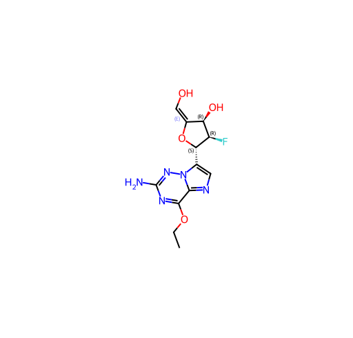 CCOc1nc(N)nn2c([C@@H]3O/C(=C/O)[C@@H](O)[C@H]3F)cnc12